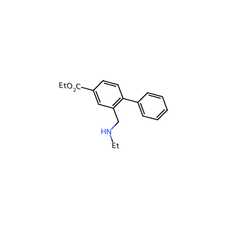 CCNCc1cc(C(=O)OCC)ccc1-c1ccccc1